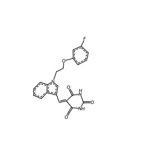 O=C1NC(=O)C(=Cc2cn(CCOc3cccc(F)c3)c3ccccc23)C(=O)N1